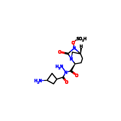 NC1CC(C(=O)N(N)C(=O)[C@@H]2CC[C@@H]3CN2C(=O)N3OS(=O)(=O)O)C1